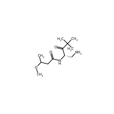 COC(C)CC(=O)N[C@@H](CN)C(=O)C(C)(C)C